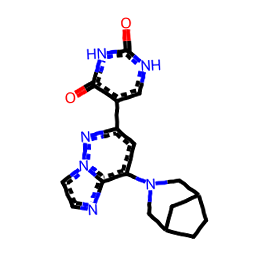 O=c1[nH]cc(-c2cc(N3CC4CCC(C4)C3)c3nccn3n2)c(=O)[nH]1